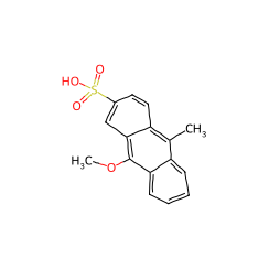 COc1c2ccccc2c(C)c2ccc(S(=O)(=O)O)cc12